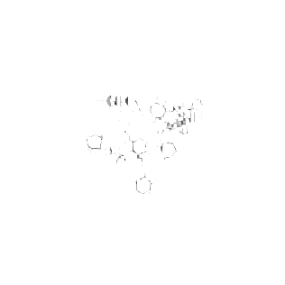 NCCCCOc1cccc(OCc2ccccc2)c1C(=O)OCc1ccccc1.O=C(O)/C=C/c1ccc(N2CC(=O)NS2(=O)=O)c(OCc2ccccc2)c1